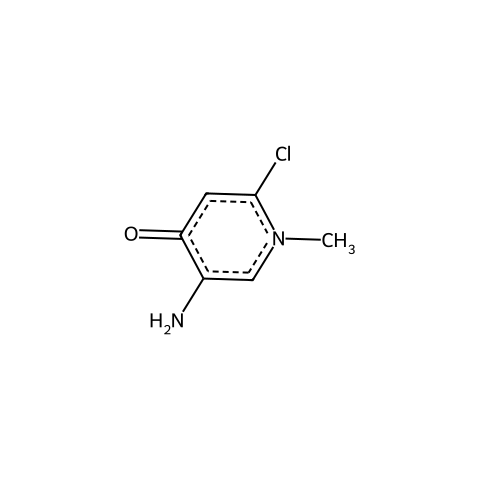 Cn1cc(N)c(=O)cc1Cl